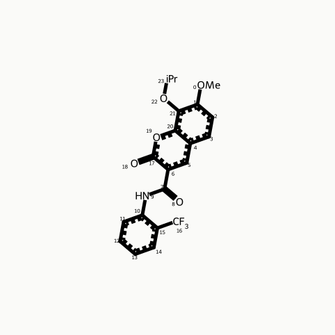 COc1ccc2cc(C(=O)Nc3ccccc3C(F)(F)F)c(=O)oc2c1OC(C)C